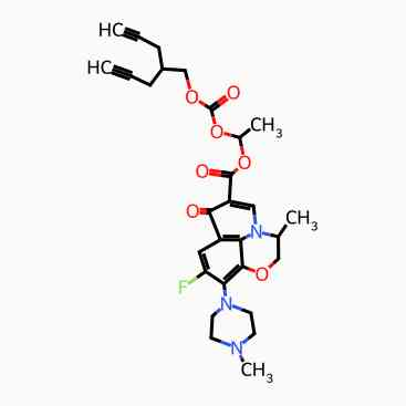 C#CCC(CC#C)COC(=O)OC(C)OC(=O)c1cn2c3c(c(N4CCN(C)CC4)c(F)cc3c1=O)OCC2C